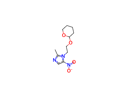 Cc1ncc([N+](=O)[O-])n1CCOC1CCCCO1